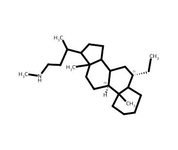 CC[C@H]1CC2C3CCC(C(C)CCNC)C3(C)CC[C@@H]2C2(C)CCCCC12